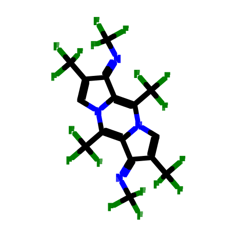 FC(F)(F)/N=c1\c(C(F)(F)F)cn2c(C(F)(F)F)c3/c(=N/C(F)(F)F)c(C(F)(F)F)cn3c(C(F)(F)F)c12